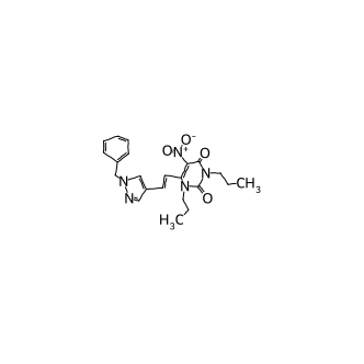 CCCn1c(/C=C/c2cnn(Cc3ccccc3)c2)c([N+](=O)[O-])c(=O)n(CCC)c1=O